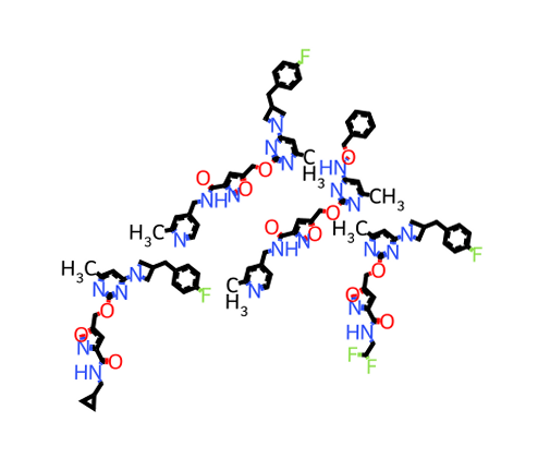 Cc1cc(CNC(=O)c2cc(COc3nc(C)cc(N4CC(Cc5ccc(F)cc5)C4)n3)on2)ccn1.Cc1cc(CNC(=O)c2cc(COc3nc(C)cc(NOCc4ccccc4)n3)on2)ccn1.Cc1cc(N2CC(Cc3ccc(F)cc3)C2)nc(OCc2cc(C(=O)NCC(F)F)no2)n1.Cc1cc(N2CC(Cc3ccc(F)cc3)C2)nc(OCc2cc(C(=O)NCC3CC3)no2)n1